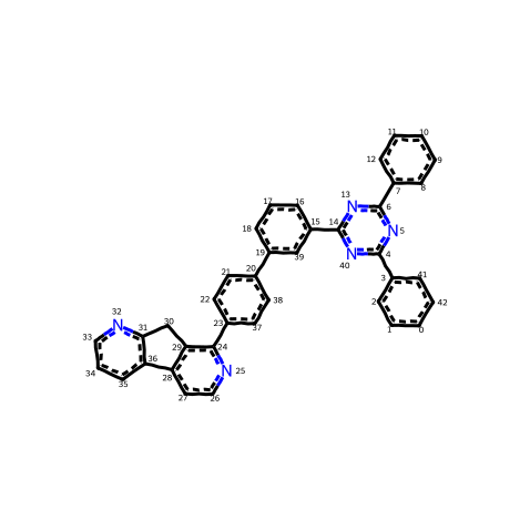 c1ccc(-c2nc(-c3ccccc3)nc(-c3cccc(-c4ccc(-c5nccc6c5Cc5ncccc5-6)cc4)c3)n2)cc1